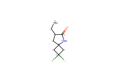 CC(C)(C)CC1CC2(CC(F)(F)C2)NC1=O